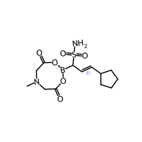 CN1CC(=O)OB(C(/C=C/C2CCCC2)S(N)(=O)=O)OC(=O)C1